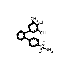 Cc1cc(-c2ccccc2-c2ccc(S(N)(=O)=O)cc2)cc(C)c1Cl